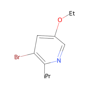 CCOc1cnc(C(C)C)c(Br)c1